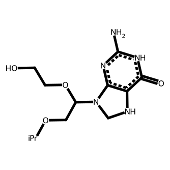 CC(C)OCC(OCCO)N1CNc2c1nc(N)[nH]c2=O